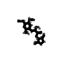 COc1cc(N)c(C=C(C)C(=O)ON2C(=O)CCC2=O)cc1OC